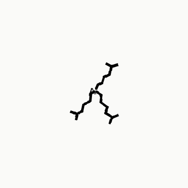 CC(C)CCC[CH2][Al]([CH2]CCCC(C)C)[CH2]CCCC(C)C